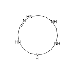 C1=NNCCNCCNCCNCCNC1